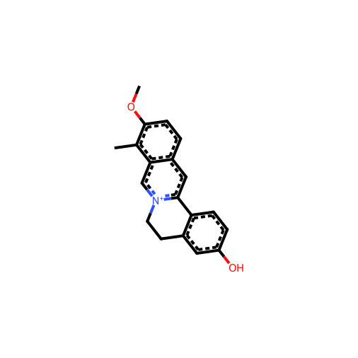 COc1ccc2cc3[n+](cc2c1C)CCc1cc(O)ccc1-3